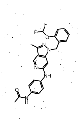 CC(=O)Nc1ccc(Nc2cc3c(cn2)c(C)nn3Cc2ccccc2OC(F)F)cc1